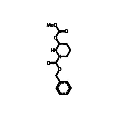 COC(=O)OC1CCCN(C(=O)OCc2ccccc2)N1